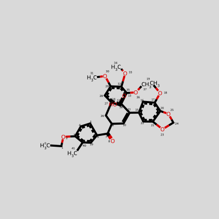 CCOc1ccc(C(=O)C(C=C(C(=O)O)c2cc(OC)c3c(c2)OCO3)Cc2cc(OC)c(OC)c(OC)c2)cc1C